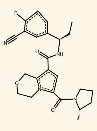 CC[C@@H](NC(=O)c1cc(C(=O)N2CCC[C@@H]2C)n2c1COCC2)c1ccc(F)c(C#N)c1